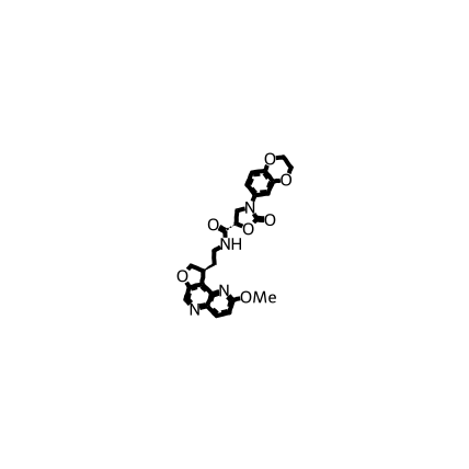 COc1ccc2ncc3c(c2n1)[C@H](CCNC(=O)[C@@H]1CN(c2ccc4c(c2)OCCO4)C(=O)O1)CO3